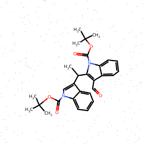 CC(c1cn(C(=O)OC(C)(C)C)c2ccccc12)c1c(C=O)c2ccccc2n1C(=O)OC(C)(C)C